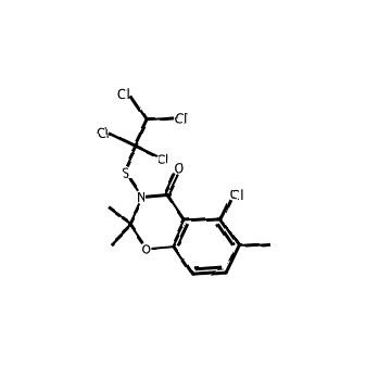 Cc1ccc2c(c1Cl)C(=O)N(SC(Cl)(Cl)C(Cl)Cl)C(C)(C)O2